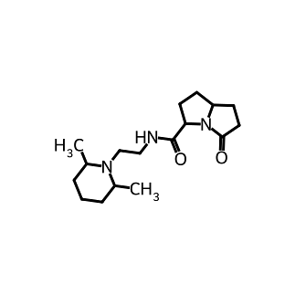 CC1CCCC(C)N1CCNC(=O)C1CCC2CCC(=O)N21